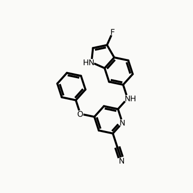 N#Cc1cc(Oc2ccccc2)cc(Nc2ccc3c(F)c[nH]c3c2)n1